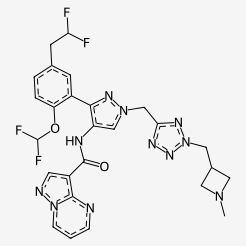 CN1CC(Cn2nnc(Cn3cc(NC(=O)c4cnn5cccnc45)c(-c4cc(CC(F)F)ccc4OC(F)F)n3)n2)C1